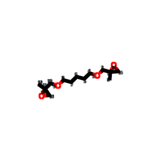 CC1(COCCCCCOCC2(C)CO2)CO1